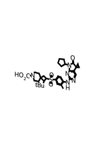 Cc1cc(S(=O)(=O)C2CC3(CCN(C(=O)O)CC3)C2C(C)(C)C)ccc1Nc1ncc2c(n1)N(C1CCCC1)C(=O)C21CC1